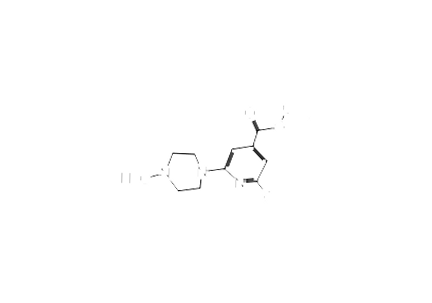 COC(=O)c1cc(Cl)nc(N2CCN(C)CC2)c1